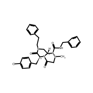 CN1CC(=O)N2[C@@H](Cc3ccc(Cl)cc3)C(=O)N(CCc3ccccc3)C[C@@H]2N1C(=O)NCc1ccccc1